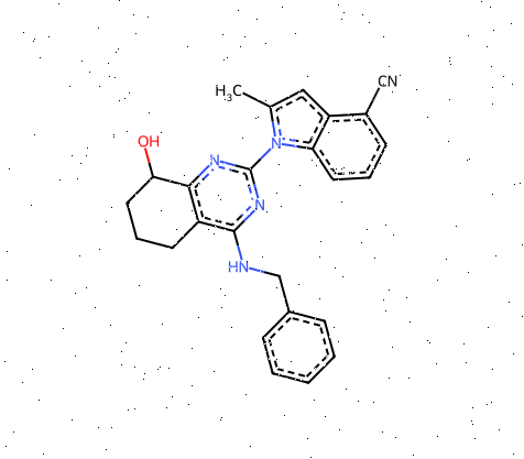 Cc1cc2c(C#N)cccc2n1-c1nc(NCc2ccccc2)c2c(n1)C(O)CCC2